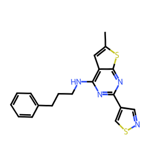 Cc1cc2c(NCCCc3ccccc3)nc(-c3cnsc3)nc2s1